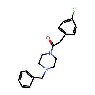 O=C(Cc1ccc(Cl)cc1)N1CCN(Cc2ccccc2)CC1